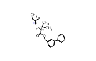 CC/C(F)=C/[C@H]1[C@@H](C(=O)OCc2cccc(-c3ccccc3)c2)C1(C)C